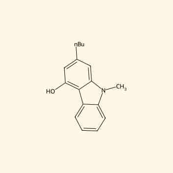 CCCCc1cc(O)c2c3ccccc3n(C)c2c1